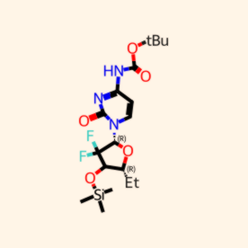 CC[C@H]1O[C@@H](n2ccc(NC(=O)OC(C)(C)C)nc2=O)C(F)(F)C1O[Si](C)(C)C